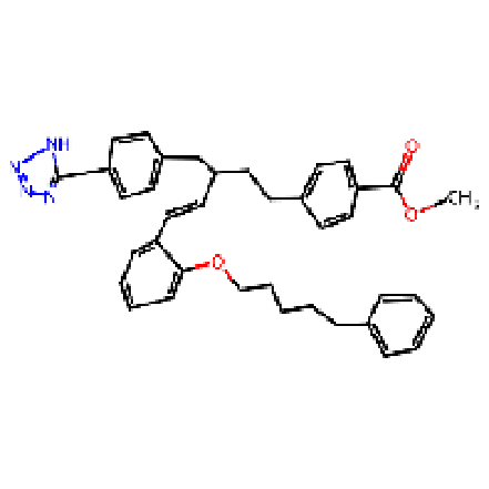 COC(=O)c1ccc(CCC(/C=C/c2ccccc2OCCCCCc2ccccc2)Cc2ccc(-c3nnn[nH]3)cc2)cc1